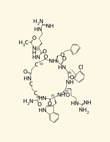 CC(=O)N[C@@H](CCCNC(=N)N)C(=O)N[C@H]1CCC(=O)NCCC[C@@H](C(N)=O)NC(=O)[C@H](Cc2c[nH]c3ccccc23)NC(=O)[C@H](CCCNC(=N)N)NC(=O)[C@@H](Cc2ccccc2Cl)NC(=O)[C@H](COCc2ccccc2)NC1=O